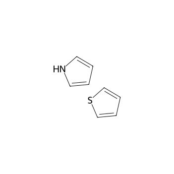 c1cc[nH]c1.c1ccsc1